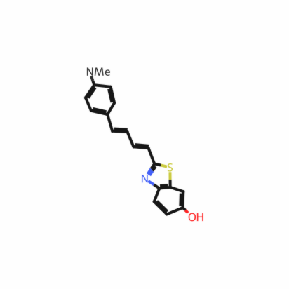 [11CH3]Nc1ccc(/C=C/C=C/c2nc3ccc(O)cc3s2)cc1